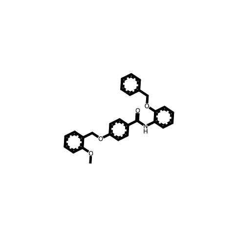 COc1ccccc1COc1ccc(C(=O)Nc2ccccc2OCc2ccccc2)cc1